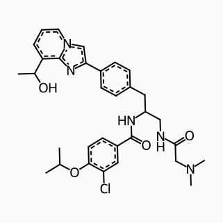 CC(C)Oc1ccc(C(=O)NC(CNC(=O)CN(C)C)Cc2ccc(-c3cn4cccc(C(C)O)c4n3)cc2)cc1Cl